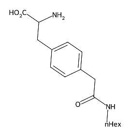 CCCCCCNC(=O)Cc1ccc(CC(N)C(=O)O)cc1